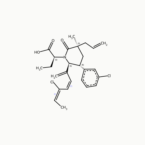 C=CC[C@@]1(C)C[C@H](c2cccc(Cl)c2)[C@@H](C(=C)/C=C\C(Cl)=C/C)N([C@@H](CC)C(=O)O)C1=O